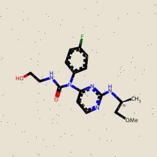 COC[C@H](C)Nc1nccc(N(C(=O)NCCO)c2ccc(F)cc2)n1